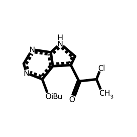 CC(C)COc1ncnc2[nH]cc(C(=O)C(C)Cl)c12